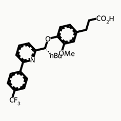 CCCC[C@@H](Oc1ccc(CCC(=O)O)cc1OC)c1cccc(-c2ccc(C(F)(F)F)cc2)n1